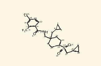 O=C(NCC1(CC2CC2)CCC(S(=O)(=O)CC2CC2)CC1)c1ccc(Cl)cc1C(F)(F)F